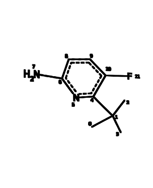 CC(C)(C)c1nc(N)ccc1F